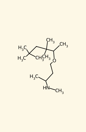 CNC(C)CCOC(C)C(C)(C)CC(C)(C)C